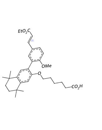 CCOC(=O)/C=C/c1ccc(OC)c(-c2cc3c(cc2OCCCCCC(=O)O)C(C)(C)CCC3(C)C)c1